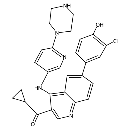 O=C(c1cnc2ccc(-c3ccc(O)c(Cl)c3)cc2c1Nc1ccc(N2CCNCC2)nc1)C1CC1